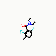 CCN(CC)C(=O)c1c(F)ccc(C)c1F